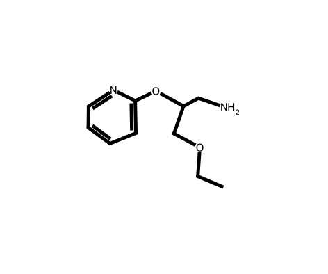 CCOCC(CN)Oc1ccccn1